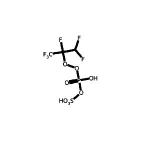 O=P(O)(OOC(F)(C(F)F)C(F)(F)F)OS(=O)(=O)O